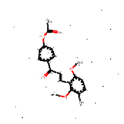 CCCOc1ccc(CCC)c(OCCC)c1C=CC(=O)c1ccc(OC(=O)C(C)(C)C)cc1